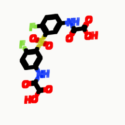 O=C(O)C(=O)Nc1ccc(F)c(S(=O)(=O)c2cc(NC(=O)C(=O)O)ccc2F)c1